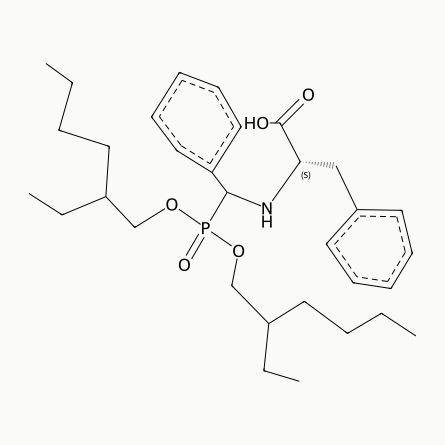 CCCCC(CC)COP(=O)(OCC(CC)CCCC)C(N[C@@H](Cc1ccccc1)C(=O)O)c1ccccc1